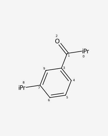 CC(C)C(=O)c1cccc(C(C)C)c1